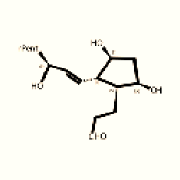 CCCCC[C@H](O)C=C[C@H]1[C@H](CCC=O)[C@H](O)C[C@@H]1O